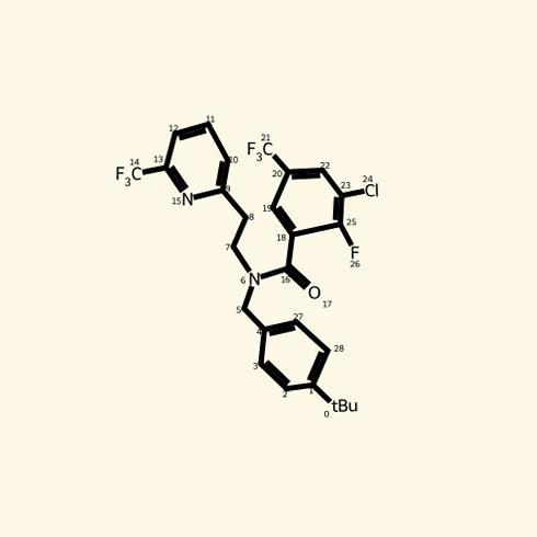 CC(C)(C)c1ccc(CN(CCc2cccc(C(F)(F)F)n2)C(=O)c2cc(C(F)(F)F)cc(Cl)c2F)cc1